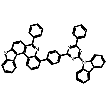 c1ccc(-c2nc(-c3ccc(-c4cccc5c4nc(-c4ccccc4)c4ccc6sc7ccccc7c6c45)cc3)nc(-n3c4ccccc4c4ccccc43)n2)cc1